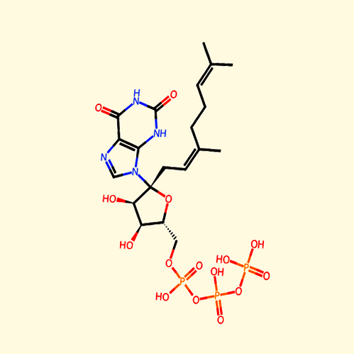 CC(C)=CCCC(C)=CC[C@@]1(n2cnc3c(=O)[nH]c(=O)[nH]c32)O[C@H](COP(=O)(O)OP(=O)(O)OP(=O)(O)O)[C@@H](O)[C@H]1O